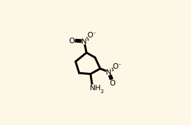 NC1CCC([N+](=O)[O-])CC1[N+](=O)[O-]